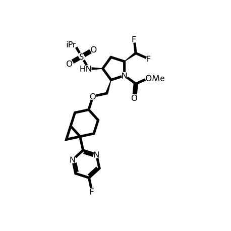 COC(=O)N1[C@H](C(F)F)C[C@H](NS(=O)(=O)C(C)C)[C@@H]1COC1CCC2(c3ncc(F)cn3)CC2C1